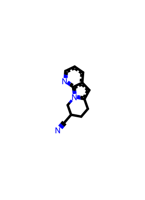 N#CC1CCc2cc3cccnc3n2C1